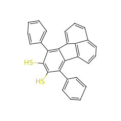 Sc1c(S)c(-c2ccccc2)c2c(c1-c1ccccc1)-c1cccc3cccc-2c13